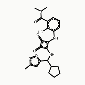 Cc1cc(C(Nc2c(Nc3cccc(C(=O)N(C)C)c3O)c(=O)c2=O)C2CCCC2)on1